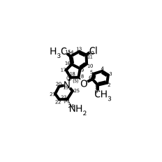 Cc1ccccc1O[C@H]1c2cc(Cl)cc(C)c2C[C@@H]1N1CCC[C@@H](N)C1